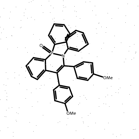 COc1ccc(C2=C(c3ccc(OC)cc3)N(c3ccccc3)P(=O)(c3ccccc3)c3ccccc32)cc1